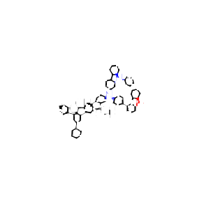 CC1(C)c2cc(N(c3ccc(-c4cccc5oc6ccccc6c45)cc3)c3ccc4c5ccccc5n(-c5ccccc5)c4c3)ccc2-c2cc3c(cc21)-c1cc(-c2ccccc2)cc(-c2ccccc2)c1C3(C)C